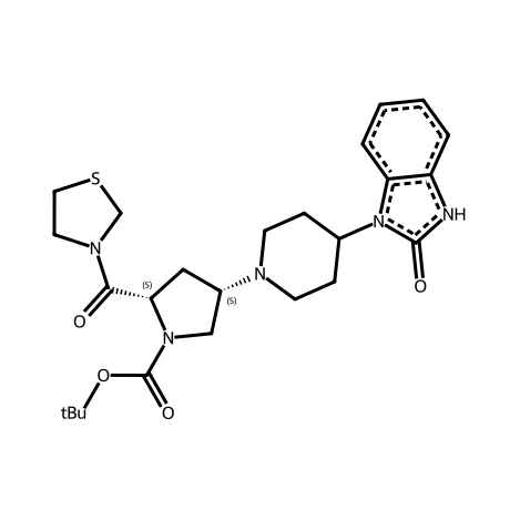 CC(C)(C)OC(=O)N1C[C@@H](N2CCC(n3c(=O)[nH]c4ccccc43)CC2)C[C@H]1C(=O)N1CCSC1